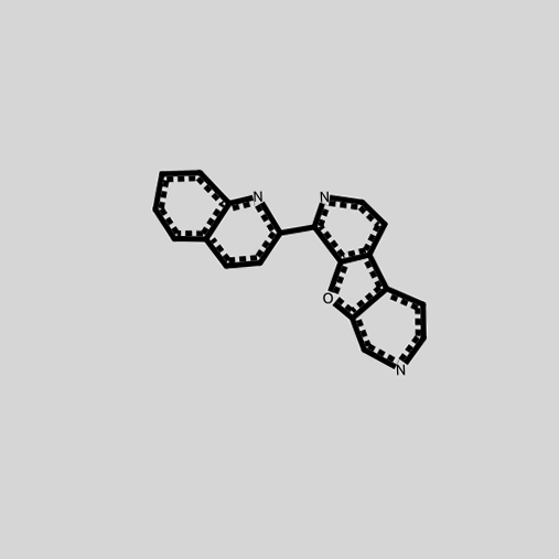 c1ccc2nc(-c3nccc4c3oc3cnccc34)ccc2c1